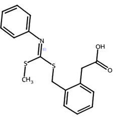 CS/C(=N\c1ccccc1)SCc1ccccc1CC(=O)O